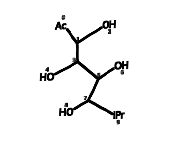 CC(=O)C(O)C(O)C(O)C(O)C(C)C